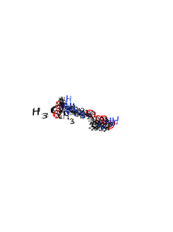 CC(=O)c1c(C)c2cnc(Nc3ccc(N4CCN(C(=O)CCc5cccc6c5C(=O)N([C@@H]5CCC(=O)NC5=O)C6)CC4)cn3)nc2n(C2CCCC2)c1=O